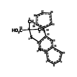 CC(C)(Sc1nc2ccccc2cc1-c1ccccc1)C(=O)O